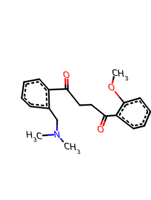 COc1ccccc1C(=O)CCC(=O)c1ccccc1CN(C)C